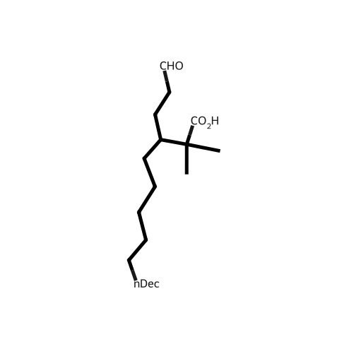 CCCCCCCCCCCCCCCC(CCC=O)C(C)(C)C(=O)O